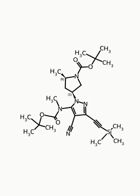 C[C@@H]1C[C@H](n2nc(C#C[Si](C)(C)C)c(C#N)c2N(C)C(=O)OC(C)(C)C)CN1C(=O)OC(C)(C)C